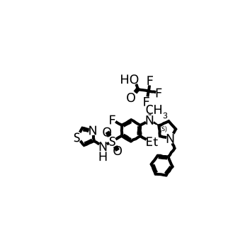 CCc1cc(S(=O)(=O)Nc2cscn2)c(F)cc1N(C)[C@H]1CCN(Cc2ccccc2)C1.O=C(O)C(F)(F)F